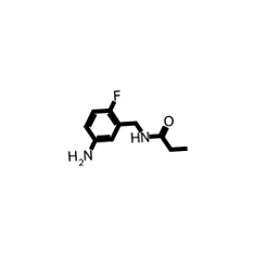 CCC(=O)NCc1cc(N)ccc1F